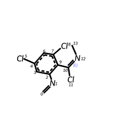 C=Nc1cc(Cl)cc(Cl)c1/C(Cl)=N\C